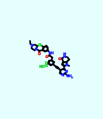 CCN1CCN(C(=O)c2cc(NC(=O)Cc3cccc(C#Cc4cnc(N)nc4-c4cc5c(n4C)CCNC5=O)c3)ccc2Cl)CC1.Cl.Cl